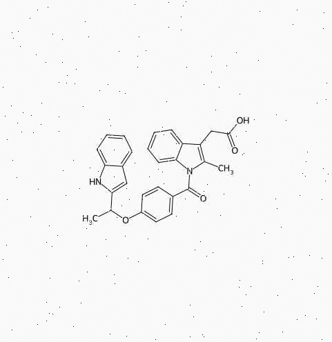 Cc1c(CC(=O)O)c2ccccc2n1C(=O)c1ccc(OC(C)c2cc3ccccc3[nH]2)cc1